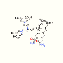 CCCCCCCCCCCCCCCCCC(N)=O.CCCCCCCCCCCCCCCCCC(N)=O.O=C(O)CN(CCN(CC(=O)O)CC(=O)O)CCN(CC(=O)O)CC(=O)O